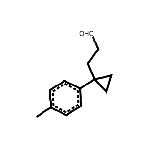 Cc1ccc(C2(CCC=O)CC2)cc1